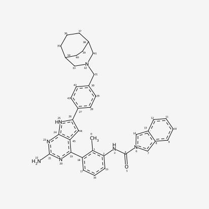 Cc1c(NC(=O)n2cc3ccccc3c2)cccc1-c1nc(N)nc2[nH]c(-c3ccc(CN4CC5CCCC(CC5)C4)cc3)cc12